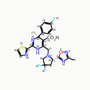 Cc1noc([C@@H]2CC(F)(F)CN2CC2=C(C(=O)O)[C@](C)(c3ccc(F)cc3)N=C(c3nccs3)N2)n1